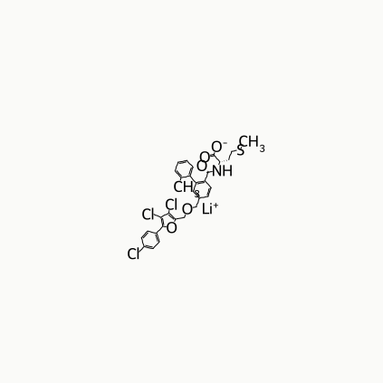 CSCC[C@H](NC(=O)c1ccc(COCc2oc(-c3ccc(Cl)cc3)c(Cl)c2Cl)cc1-c1ccccc1C)C(=O)[O-].[Li+]